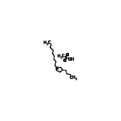 CCCCCCCCCN1CCC(CCCC)C1.CS(=O)(=O)O